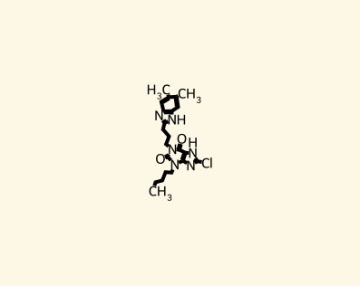 CCCCCn1c(=O)n(CCCc2nc3cc(C)c(C)cc3[nH]2)c(=O)c2[nH]c(Cl)nc21